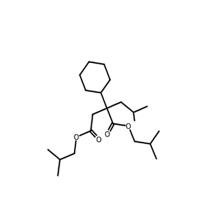 CC(C)COC(=O)CC(CC(C)C)(C(=O)OCC(C)C)C1CCCCC1